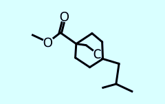 COC(=O)C12CCC(CC(C)C)(CC1)CC2